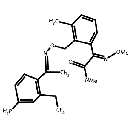 CNC(=O)/C(=N/OC)c1cccc(C)c1CO/N=C(\C)c1ccc(P)cc1CC(F)(F)F